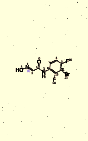 O=C(/C=N/O)Nc1ccc(F)c(Br)c1F